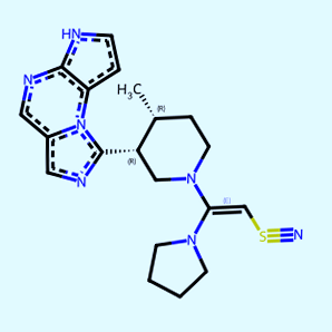 C[C@@H]1CCN(/C(=C/S#N)N2CCCC2)C[C@@H]1c1ncc2cnc3[nH]ccc3n12